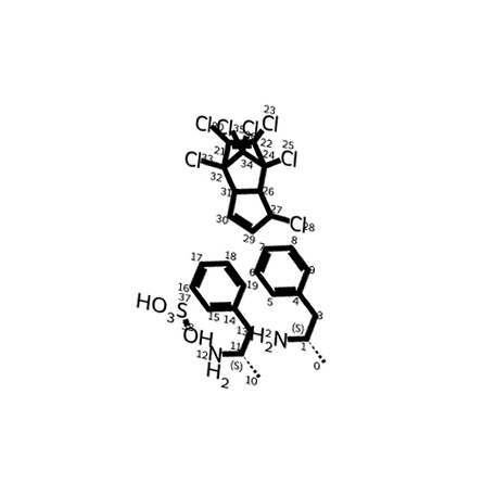 C[C@H](N)Cc1ccccc1.C[C@H](N)Cc1ccccc1.ClC1=C(Cl)C2(Cl)C3C(Cl)C=CC3C1(Cl)C2(Cl)Cl.O=S(=O)(O)O